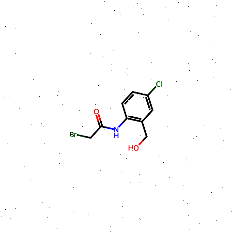 O=C(CBr)Nc1ccc(Cl)cc1CO